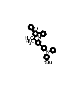 CC(C)(C)c1ccc(N(c2ccccc2)c2ccc(-c3ccc4c(c3)-n3c5ccccc5c5c6oc7ccccc7c6cc(c53)C4(C)C)cc2)cc1